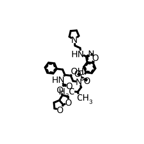 CC(C)CN(CC(O)C(Cc1ccccc1)NC(=O)OC1COC2OCCC12)S(=O)(=O)c1ccc2onc(NCCN3CCCC3)c2c1